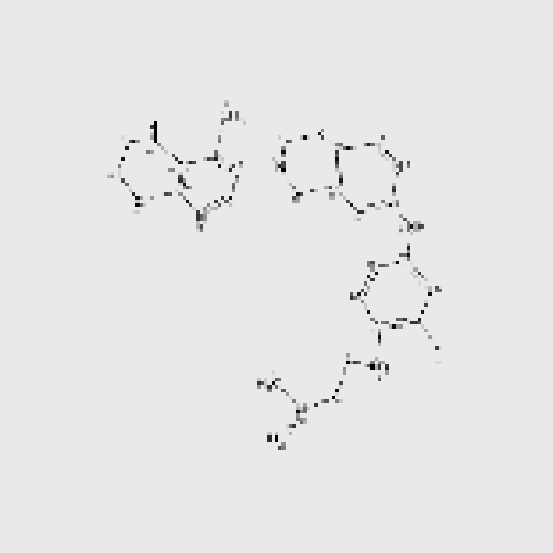 Cc1c(N2CCc3cnc(Nc4ccc(NCCN(C)C)c(F)c4)cc3C2)cnc2c1NCCO2